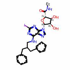 CCNC(=O)[C@H]1O[C@@H](n2cnc3c(NCC(Cc4ccccc4)Cc4ccccc4)nc(I)nc32)[C@H](O)[C@@H]1O